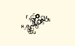 CCn1cc(-c2c(F)cccc2[C@@H]2CN(C(=O)/C=C/CN(C)C(=O)OC(C)(C)C)Cc3sc(C#N)c(C)c32)c(C(F)(F)F)n1